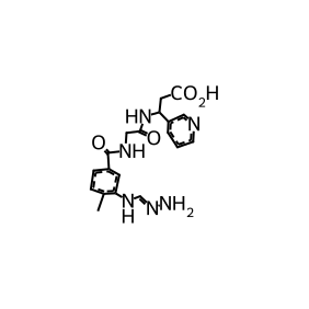 Cc1ccc(C(=O)NCC(=O)NC(CC(=O)O)c2cccnc2)cc1NC=NN